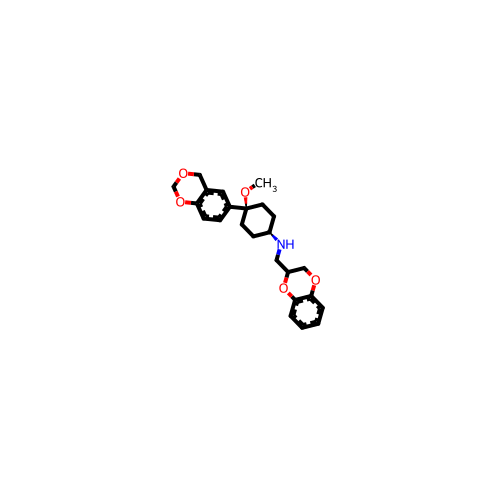 CO[C@]1(c2ccc3c(c2)COCO3)CC[C@H](NCC2COc3ccccc3O2)CC1